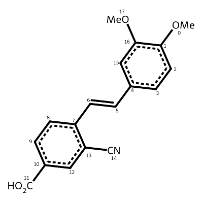 COc1ccc(/C=C/c2ccc(C(=O)O)cc2C#N)cc1OC